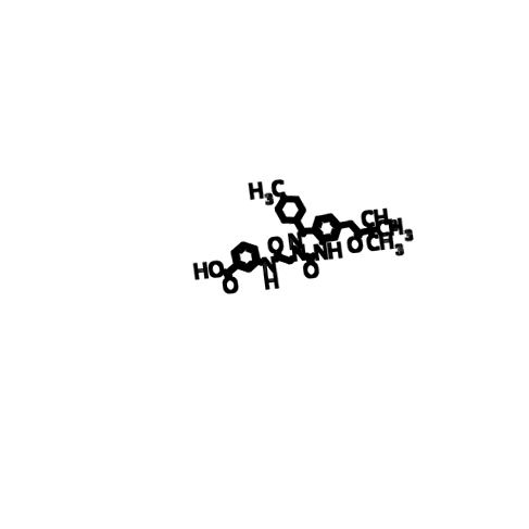 CC1CCC(C2=NN(CC(=O)Nc3cccc(C(=O)O)c3)C(=O)Nc3cc(CC(=O)C(C)(C)C)ccc32)CC1